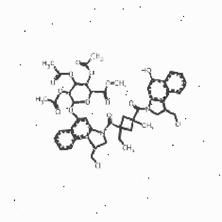 CCC1(C(=O)N2CC(CCl)c3c2cc(OC2OC(C(=O)OC)C(OC(C)=O)C(OC(C)=O)C2OC(C)=O)c2ccccc32)CC(C)(C(=O)N2CC(CCl)c3c2cc(O)c2ccccc32)C1